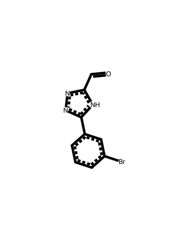 O=Cc1nnc(-c2cccc(Br)c2)[nH]1